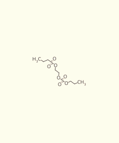 CCCOS(=O)(=O)OCCOS(=O)(=O)CCC